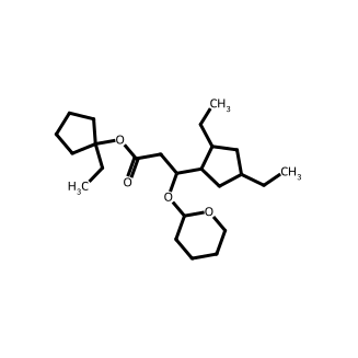 CCC1CC(CC)C(C(CC(=O)OC2(CC)CCCC2)OC2CCCCO2)C1